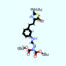 CC(=O)Nc1nc(CCc2cccc(NC=NN(C(=O)OC(C)(C)C)C(=O)OC(C)(C)C)c2)c(Br)s1